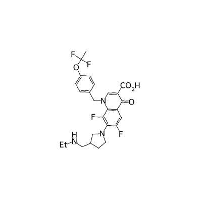 CCNCC1CCN(c2c(F)cc3c(=O)c(C(=O)O)cn(Cc4ccc(OC(C)(F)F)cc4)c3c2F)C1